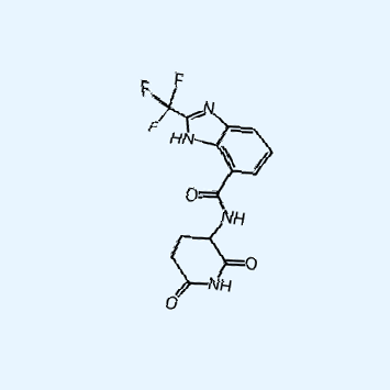 O=C1CCC(NC(=O)c2cccc3nc(C(F)(F)F)[nH]c23)C(=O)N1